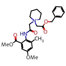 COC(=O)c1cc(OC)cc(C)c1NC(=O)C[N+]1(CC(=O)OCc2ccccc2)CCCCC1